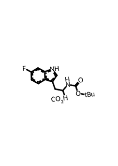 CC(C)(C)OC(=O)NC(Cc1c[nH]c2cc(F)ccc12)C(=O)O